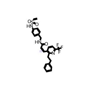 C=CS(=O)(=O)Nc1ccc(CNC(=O)/C=C\c2ccc(C(F)(F)F)nc2CCc2ccccc2)cc1